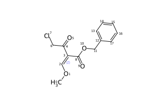 CO/C=C(/C(=O)CCl)C(=O)OCc1ccccc1